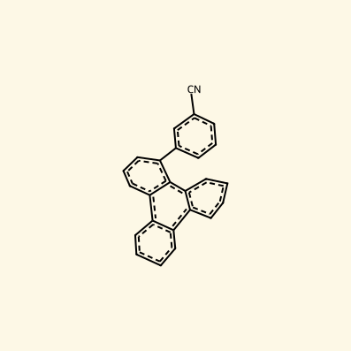 N#Cc1cccc(-c2cccc3c4ccccc4c4ccccc4c23)c1